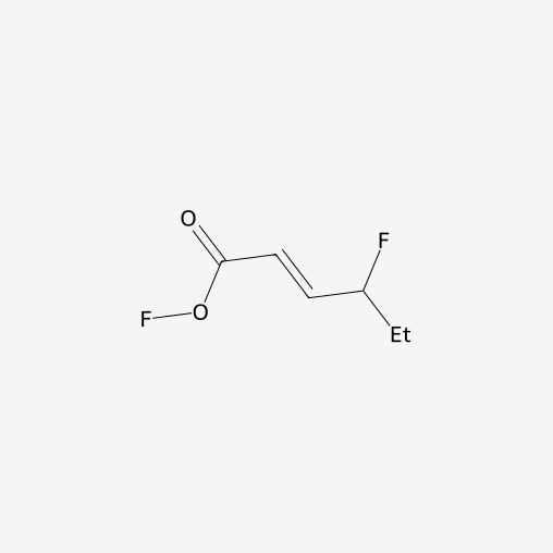 CCC(F)/C=C/C(=O)OF